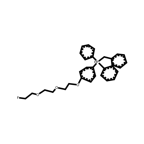 FCCOCCOCCOc1ccc([PH](Cc2ccccc2)(c2ccccc2)c2ccccc2)cc1